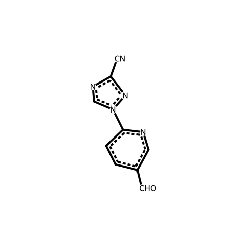 N#Cc1ncn(-c2ccc(C=O)cn2)n1